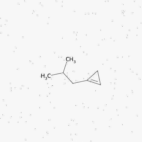 CC(C)CC1=CC1